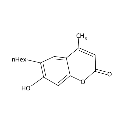 CCCCCCc1cc2c(C)cc(=O)oc2cc1O